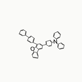 c1ccc(-c2ccc(-c3cc(-c4ccc(N(c5ccccc5)c5ccccc5)cc4)cc4c3oc3ccccc34)cc2)cc1